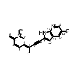 C=C(/C=C\C=C(/C)C#Cc1cc2cc(F)cnc2[nH]1)N(C)C